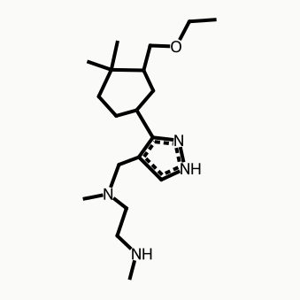 CCOCC1CC(c2n[nH]cc2CN(C)CCNC)CCC1(C)C